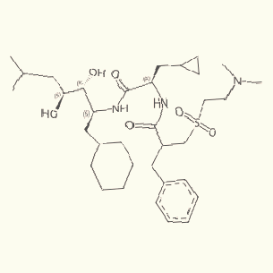 CC(C)C[C@H](O)[C@H](O)[C@H](CC1CCCCC1)NC(=O)[C@@H](CC1CC1)NC(=O)C(Cc1ccccc1)CS(=O)(=O)CCN(C)C